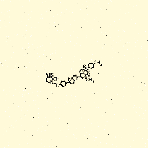 Cc1ccc(S(=O)(=O)n2ccc3c(-c4ccc5nc(-c6ccc(OCCN7CCCN(C)C(=O)[C@H]7C)cc6)ccc5c4)cn(C)c(=O)c32)cc1